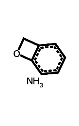 N.c1ccc2c(c1)CO2